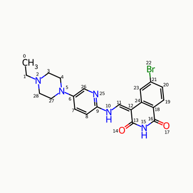 CCN1CCN(c2ccc(NC=C3C(=O)NC(=O)c4ccc(Br)cc43)nc2)CC1